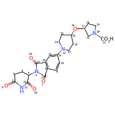 O=C1CCC(N2C(=O)c3ccc(N4CCC(O[C@H]5CCN(C(=O)O)C5)CC4)cc3C2=O)C(=O)N1